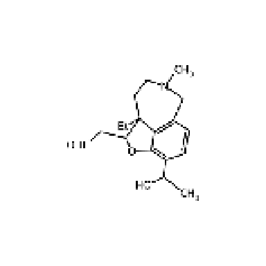 CCC12CCN(C)Cc3ccc(C(C)O)c(c31)OC2CC=O